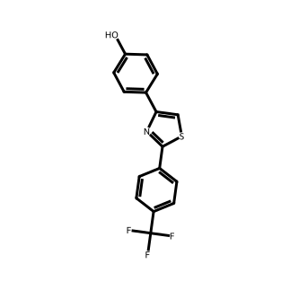 Oc1ccc(-c2csc(-c3ccc(C(F)(F)F)cc3)n2)cc1